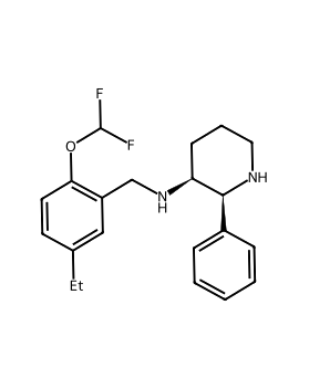 CCc1ccc(OC(F)F)c(CN[C@H]2CCCN[C@H]2c2ccccc2)c1